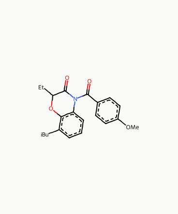 CCC1Oc2c(C(C)CC)cccc2N(C(=O)c2ccc(OC)cc2)C1=O